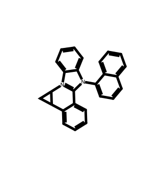 c1ccc2c(c1)-c1n(-c3cccc4ccccc34)c3ccccc3[n+]1C1CC21